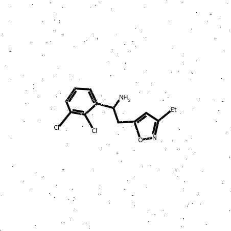 CCc1cc(CC(N)c2cccc(Cl)c2Cl)on1